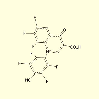 N#Cc1c(F)c(F)c(-n2cc(C(=O)O)c(=O)c3cc(F)c(F)c(F)c32)c(F)c1F